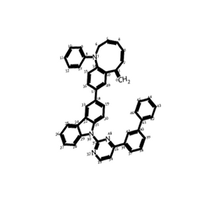 C=C1/C=C\C=C/CN(c2ccccc2)c2ccc(-c3ccc4c(c3)c3ccccc3n4-c3nccc(-c4cccc(-c5ccccc5)c4)n3)cc21